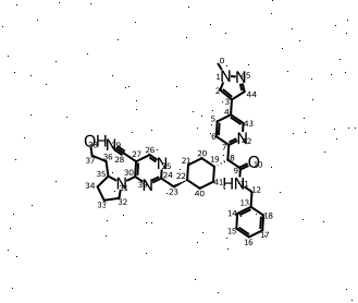 Cn1cc(-c2ccc(C(C(=O)NCc3ccccc3)[C@H]3CC[C@H](Cc4ncc(C#N)c(N5CCCC5CCO)n4)CC3)nc2)cn1